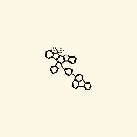 CC1(C)c2ccccc2-c2c1c1sc3ccccc3c1c1c2c2ccccc2n1-c1ccc(-c2ccc3c4c(cccc24)-c2ccccc2-3)cc1